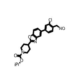 CC(C)OC(=O)N1CCC(c2nc3cc(-c4ccc(CN=O)c(Cl)c4)ccc3o2)CC1